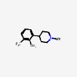 CCCN1CCC(c2cccc(C(F)(F)F)c2C)CC1